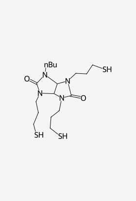 CCCCN1C(=O)N(CCCS)C2C1N(CCCS)C(=O)N2CCCS